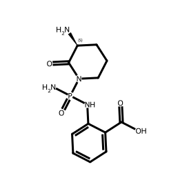 N[C@H]1CCCN(P(N)(=O)Nc2ccccc2C(=O)O)C1=O